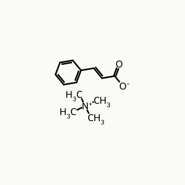 C[N+](C)(C)C.O=C([O-])C=Cc1ccccc1